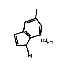 Cc1ccc2c(c1)C=C[CH]2[Hf].Cl.Cl